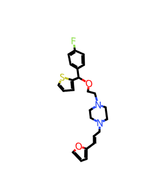 Fc1ccc(C(OCCN2CCN(CC=Cc3ccco3)CC2)c2cccs2)cc1